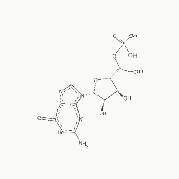 Nc1nc2c(ncn2[C@@H]2O[C@H](C(O)OP(=O)(O)O)[C@@H](O)[C@H]2O)c(=O)[nH]1